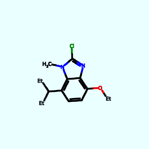 CCOc1ccc(C(CC)CC)c2c1nc(Cl)n2C